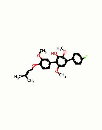 COc1cc(-c2c(OC)cc(-c3ccc(F)cc3)c(OC)c2O)ccc1OCC=C(C)C